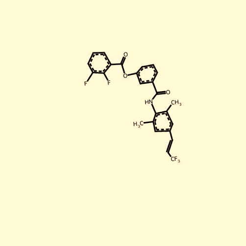 Cc1cc(C=CC(F)(F)F)cc(C)c1NC(=O)c1cccc(OC(=O)c2cccc(F)c2F)c1